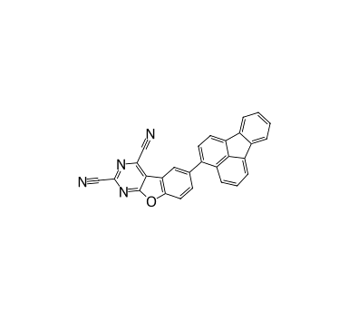 N#Cc1nc(C#N)c2c(n1)oc1ccc(-c3ccc4c5c(cccc35)-c3ccccc3-4)cc12